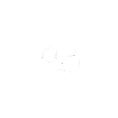 O=C1COCC2CC2(c2cccc(Br)c2)N1